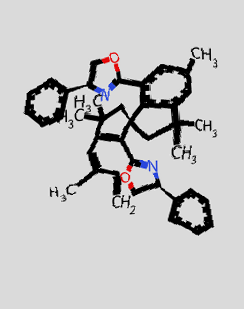 C=C/C(C)=C\C1=C(C2=N[C@@H](c3ccccc3)CO2)[C@@]2(CC1(C)C)CC(C)(C)c1cc(C)cc(C3=N[C@@H](c4ccccc4)CO3)c12